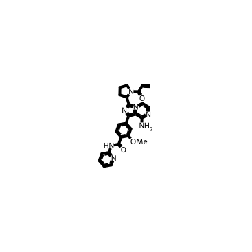 C=CC(=O)N1CCCC1c1nc(-c2ccc(C(=O)Nc3ccccn3)c(OC)c2)c2c(N)nccn12